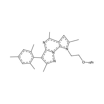 CCCOCCn1c(C)cc2c(C)nc3c(-c4c(C)cc(C)cc4C)c(C)nn3c21